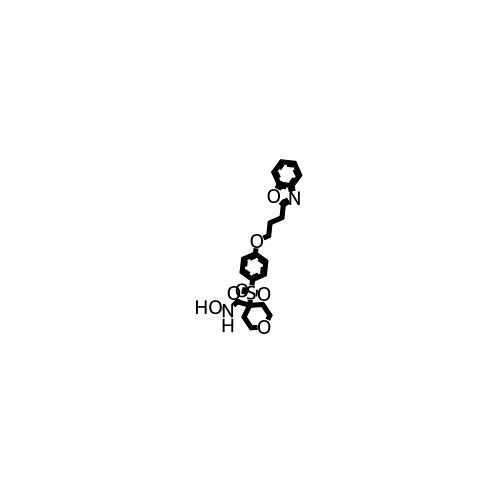 O=C(NO)C1(S(=O)(=O)c2ccc(OCCCc3nc4ccccc4o3)cc2)CCOCC1